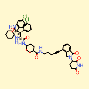 O=C1CCC(N2Cc3c(C#CCCCNC(=O)C45CCC(NC(=O)[C@@H]6NC7(CCCCC7)[C@@]7(C(=O)Nc8cc(Cl)ccc87)[C@H]6c6cccc(Cl)c6)(CC4)CC5)cccc3C2=O)C(=O)N1